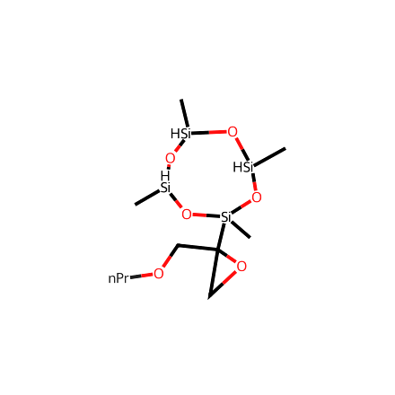 CCCOCC1([Si]2(C)O[SiH](C)O[SiH](C)O[SiH](C)O2)CO1